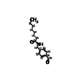 CCCCCCCC(=O)NCc1ccc(C=O)cc1